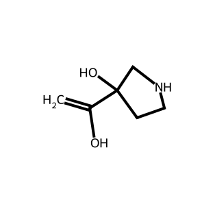 C=C(O)C1(O)CCNC1